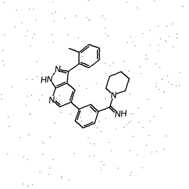 Cc1ccccc1-c1n[nH]c2ncc(-c3cccc(C(=N)N4CCCCC4)c3)cc12